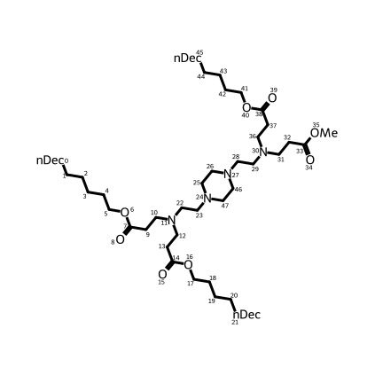 CCCCCCCCCCCCCCCOC(=O)CCN(CCC(=O)OCCCCCCCCCCCCCC)CCN1CCN(CCN(CCC(=O)OC)CCC(=O)OCCCCCCCCCCCCCC)CC1